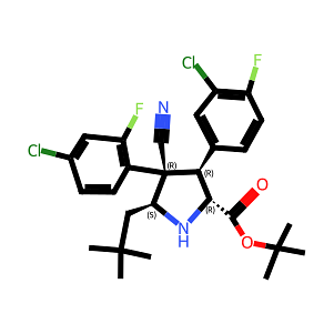 CC(C)(C)C[C@@H]1N[C@@H](C(=O)OC(C)(C)C)[C@H](c2ccc(F)c(Cl)c2)[C@@]1(C#N)c1ccc(Cl)cc1F